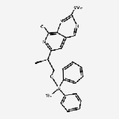 CSc1ncc2cc([C@H](C)CO[Si](c3ccccc3)(c3ccccc3)C(C)(C)C)nc(Cl)c2n1